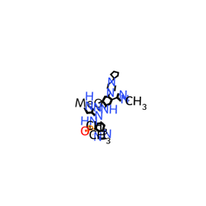 COc1cc(N2CCN(C3CCCC3)CC2)c(-c2cnn(C)c2)cc1Nc1nc(Nc2ccc3nccnc3c2P(C)(C)=O)c2cc[nH]c2n1